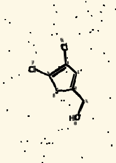 OCc1cc(Cl)c(Cl)s1